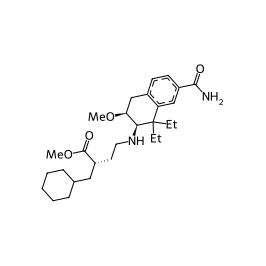 CCC1(CC)c2cc(C(N)=O)ccc2C[C@H](OC)[C@@H]1NCC[C@H](CC1CCCCC1)C(=O)OC